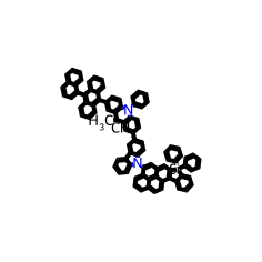 CC1(C)c2cc(-c3ccc4c(c3)c3ccccc3n4-c3cc4cc5c(c6ccc7cccc3c7c46)-c3ccccc3[Si]5(c3ccccc3)c3ccccc3)ccc2N(c2ccccc2)c2ccc(-c3c4ccccc4c(-c4cccc5ccccc45)c4ccccc34)cc21